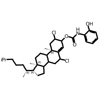 CC(C)CCC[C@@H](C)[C@H]1CCC2C3CC(Cl)C4=CC(OC(=O)Nc5ccccc5O)C(Cl)C[C@]4(C)C3CC[C@@]21C